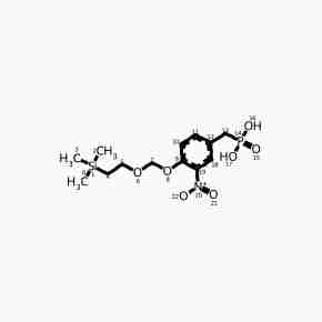 C[Si](C)(C)CCOCOc1ccc(CP(=O)(O)O)cc1[N+](=O)[O-]